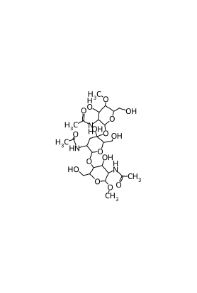 COC1OC(CO)C(OC2OC(CO)C(O)(OC3OC(CO)C(OC)C(O)C3NC(C)=O)CC2NC(C)=O)C(O)C1NC(C)=O